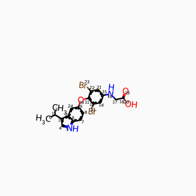 CC(C)c1c[nH]c2ccc(Oc3c(Br)cc(NCC(=O)O)cc3Br)cc12